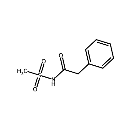 CS(=O)(=O)NC(=O)Cc1ccccc1